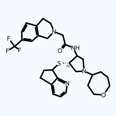 O=C(CN1CCc2ccc(C(F)(F)F)cc2C1)NC1CN(C2CCCOCC2)C[C@@H]1SC1CCc2cccnc21